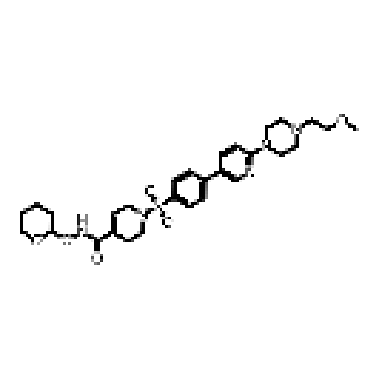 COCCN1CCN(c2ccc(-c3ccc(S(=O)(=O)N4CC=C(C(=O)NOC5CCCCO5)CC4)cc3)cn2)CC1